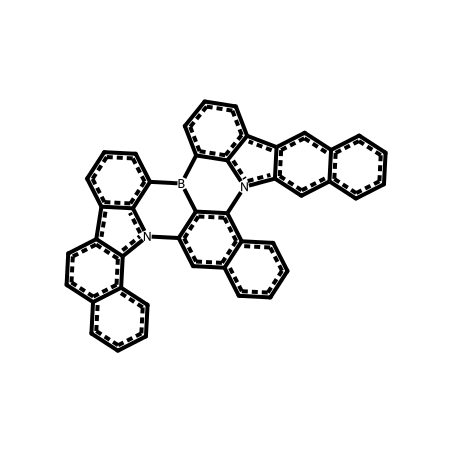 c1ccc2cc3c(cc2c1)c1cccc2c1n3-c1c3c(cc4ccccc14)-n1c4c(cccc4c4ccc5ccccc5c41)B32